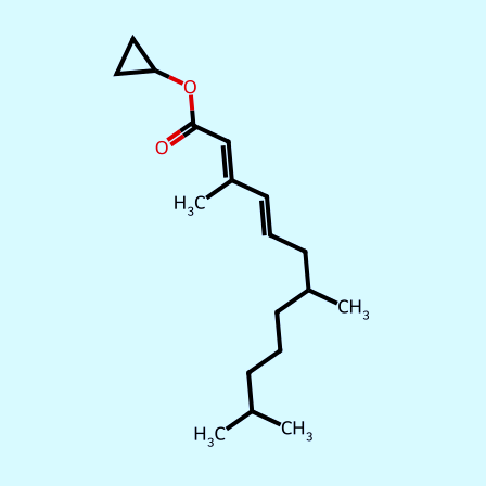 CC(/C=C/CC(C)CCCC(C)C)=C\C(=O)OC1CC1